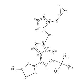 CC(C)(C)c1nc(N2CCC(O)C2)c2ncn(Cc3nnnn3CC3CC3)c2n1